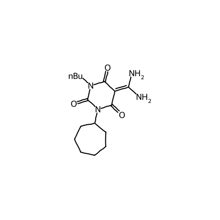 CCCCN1C(=O)C(=C(N)N)C(=O)N(C2CCCCCC2)C1=O